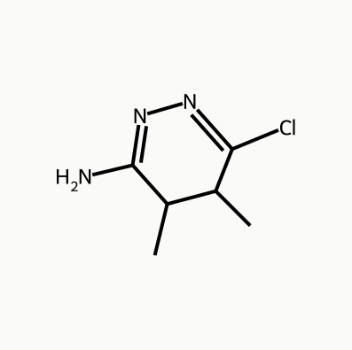 CC1C(N)=NN=C(Cl)C1C